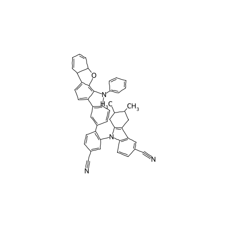 CC1Cc2c(n(-c3cc(C#N)ccc3-c3ccc4c(c3)c3ccc5c(c3n4-c3ccccc3)OC3C=CC=CC53)c3ccc(C#N)cc23)CC1C